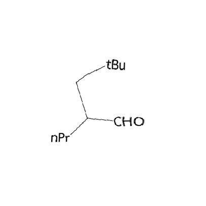 CCCC(C=O)CC(C)(C)C